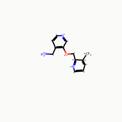 NCc1ccncc1OCc1ncccc1C(F)(F)F